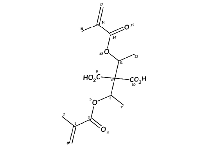 C=C(C)C(=O)OC(C)C(C(=O)O)(C(=O)O)C(C)OC(=O)C(=C)C